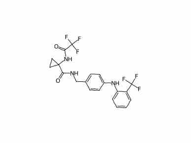 O=C(NC1(C(=O)NCc2ccc(Nc3ccccc3C(F)(F)F)cc2)CC1)C(F)(F)F